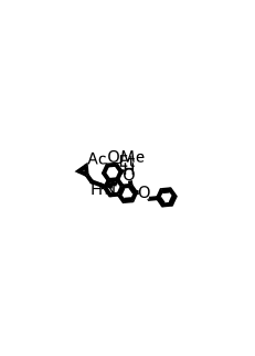 CC[C@@]1(OC)[C@@H](C(C)=O)CC2[C@H]3Cc4ccc(OCc5ccccc5)c5c4[C@@]2(CCN3CC2CC2)[C@H]1O5